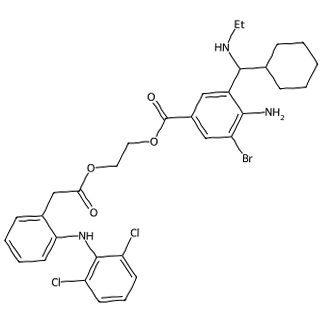 CCNC(c1cc(C(=O)OCCOC(=O)Cc2ccccc2Nc2c(Cl)cccc2Cl)cc(Br)c1N)C1CCCCC1